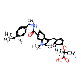 Cc1c(Cc2ccc(OC(C)(C)C(=O)O)cc2)c2ccc(C(=O)N[C@@H](C)c3ccc(C(C)(C)C)cc3)cc2n1C